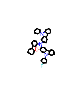 Fc1ccc(-n2c3ccccc3c3cc(N(c4ccc5c6ccccc6n(-c6ccccc6)c5c4)c4cccc5c4oc4ccccc45)ccc32)cc1